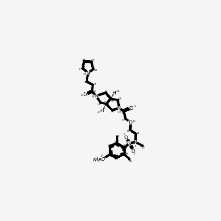 COc1cc(C)c(S(=O)(=O)N(C)CCOCC(=O)N2C[C@H]3CN(C(=O)CCN4CCCC4)C[C@H]3C2)c(C)c1